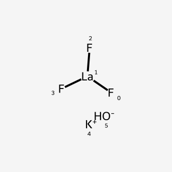 [F][La]([F])[F].[K+].[OH-]